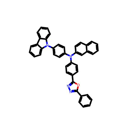 c1ccc(-c2nnc(-c3ccc(N(c4ccc(-n5c6ccccc6c6ccccc65)cc4)c4ccc5ccccc5c4)cc3)o2)cc1